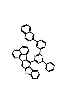 c1ccc(-c2nc(-c3cccc(-c4ccc5ccccc5c4)c3)nc(-c3c4c(cc5sc6ccccc6c35)-c3cccc5cccc-4c35)n2)cc1